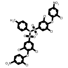 Cc1ccc(N(S(=O)(=O)c2cc(Cl)c(Oc3ccc([N+](=O)[O-])cc3Cl)c(Cl)c2)S(=O)(=O)c2cc(Cl)c(Oc3ccc([N+](=O)[O-])cc3Cl)c(Cl)c2)cc1